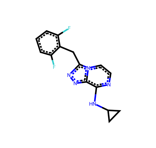 Fc1cccc(F)c1Cc1nnc2c(NC3CC3)nccn12